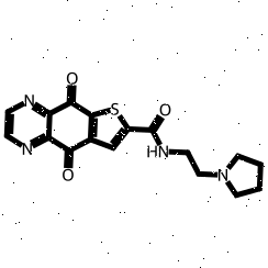 O=C(NCCN1CCCC1)c1cc2c(s1)C(=O)c1nccnc1C2=O